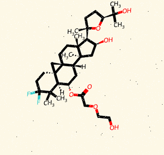 CC(C)(O)[C@@H]1CC[C@@](C)([C@H]2[C@@H](O)C[C@@]3(C)[C@@H]4C[C@H](OC(=O)COCCO)[C@H]5C(C)(C)C(F)(F)CC[C@@]56C[C@@]46CC[C@]23C)O1